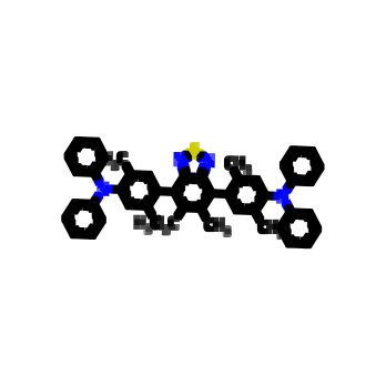 Cc1cc(N(c2ccccc2)c2ccccc2)c(C)cc1-c1c(C)c(C)c(-c2cc(C)c(N(c3ccccc3)c3ccccc3)cc2C)c2nsnc12